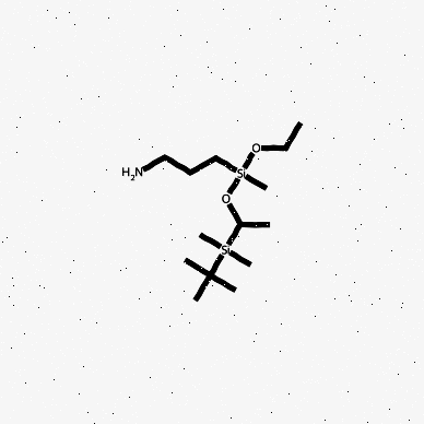 CCO[Si](C)(CCCN)OC(C)[Si](C)(C)C(C)(C)C